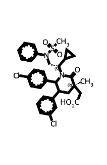 C[C@]1(CC(=O)O)CC(c2cccc(Cl)c2)C(c2ccc(Cl)cc2)N([C@H](CN(c2ccccc2)S(C)(=O)=O)C2CC2)C1=O